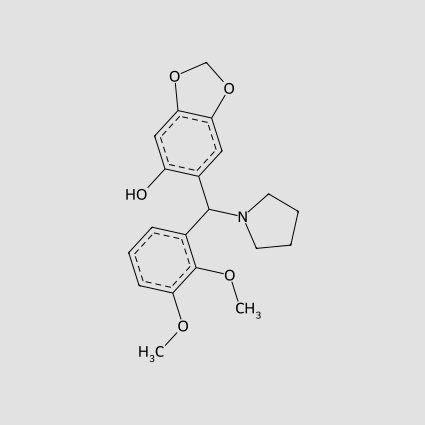 COc1cccc(C(c2cc3c(cc2O)OCO3)N2CCCC2)c1OC